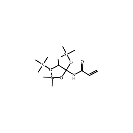 C=CC(=O)NC(O[Si](C)(C)C)(O[Si](C)(C)C)C(C)O[Si](C)(C)C